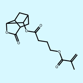 C=C(C)C(=O)OCCCC(=O)OC1C2CC3C(=O)OC1C3C2